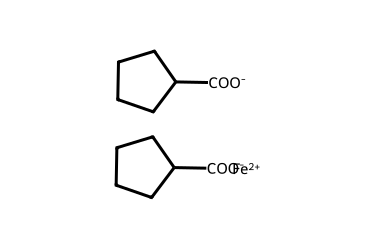 O=C([O-])C1CCCC1.O=C([O-])C1CCCC1.[Fe+2]